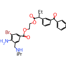 CCC(C(=O)OCCOC(=O)c1cc(Br)c(N)c(CNC(C)C)c1)c1cccc(C(=O)c2ccccc2)c1